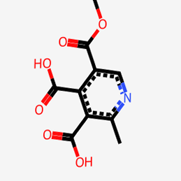 COC(=O)c1cnc(C)c(C(=O)O)c1C(=O)O